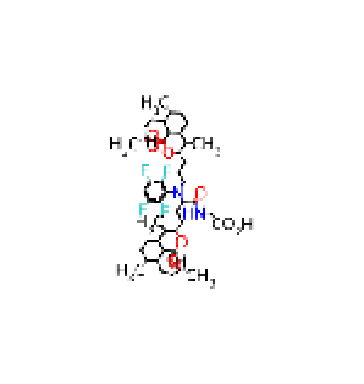 C[C@@H]1CCC2[C@@H](C)[C@@H](CCCN(c3c(F)c(F)cc(F)c3F)C(CC[C@H]3O[C@@H]4O[C@]5(C)CCC6[C@H](C)CCC([C@H]3C)[C@]64CO5)C(=O)NCC(=O)O)O[C@@H]3O[C@]4(C)CCC1[C@@]23CO4